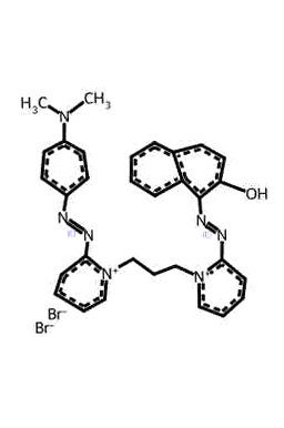 CN(C)c1ccc(/N=N/c2cccc[n+]2CCC[n+]2ccccc2/N=N/c2c(O)ccc3ccccc23)cc1.[Br-].[Br-]